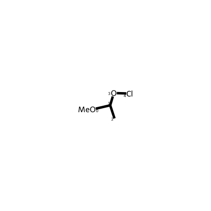 COC(C)OCl